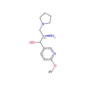 CC(C)Oc1ccc(C(O)[C@H](N)CN2CCCC2)cn1